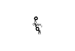 CCOc1ccc(C[C@H](N)C(=O)OCc2ccccc2)cc1